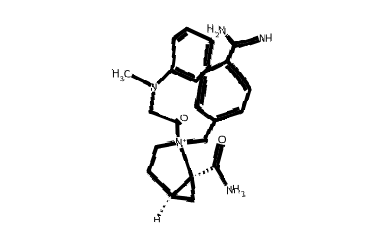 CN(CC(=O)[N+]1(Cc2ccc(C(=N)N)cc2)CC[C@@H]2C[C@@]21C(N)=O)c1ccccc1